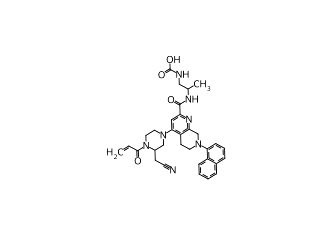 C=CC(=O)N1CCN(c2cc(C(=O)NC(C)CNC(=O)O)nc3c2CCN(c2cccc4ccccc24)C3)CC1CC#N